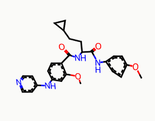 COc1ccc(NC(=O)C(CCC2CC2)NC(=O)c2ccc(Nc3ccncc3)cc2OC)cc1